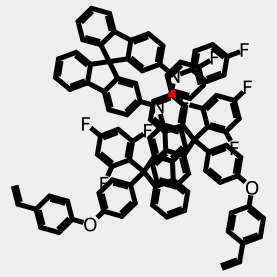 C=Cc1ccc(Oc2ccc(C3(c4c(F)cc(F)cc4F)c4ccccc4-c4ccc(N(c5ccc(F)cc5)c5ccc6c(c5)C5(c7ccccc7-6)c6ccccc6-c6ccc(N(c7ccc(F)cc7)c7ccc8c(c7)C(c7ccc(Oc9ccc(C=C)cc9)cc7)(c7c(F)cc(F)cc7F)c7ccccc7-8)cc65)cc43)cc2)cc1